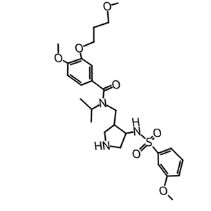 COCCCOc1cc(C(=O)N(CC2CNCC2NS(=O)(=O)c2cccc(OC)c2)C(C)C)ccc1OC